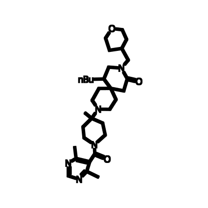 CCCCC1CN(CC2CCOCC2)C(=O)CC12CCN(C1(C)CCN(C(=O)c3c(C)ncnc3C)CC1)CC2